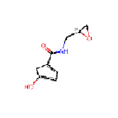 O=C(NC[C@H]1CO1)C1=CC=C(O)C1